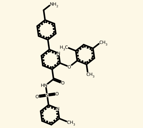 Cc1cc(C)c(Oc2nc(-c3ccc(CN)cc3)ccc2C(=O)NS(=O)(=O)c2cccc(C)n2)c(C)c1